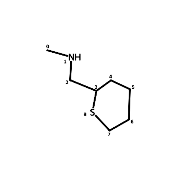 CNCC1CCCCS1